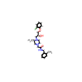 Cc1ccccc1CNC(=O)CN1CCN(C[C@@H](O)COc2ccccc2F)[C@@H](C)C1